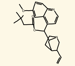 C=CC1CN2CCC1CC2C(OC(=O)CC(C)(C)C)c1ccnc2ccc(OC)cc12